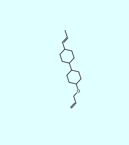 C=CCOC1CCC(C2CCC(/C=C/C)CC2)CC1